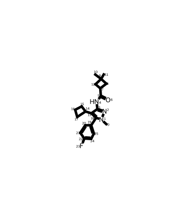 Cn1nc(NC(=O)C2CC(C)(C)C2)c(C2CCC2)c1-c1ccc(F)cc1